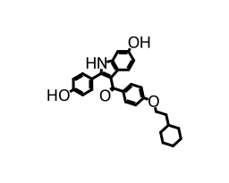 O=C(c1ccc(OCCC2CCCCC2)cc1)c1c(-c2ccc(O)cc2)[nH]c2cc(O)ccc12